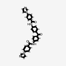 O=C(Nc1ccc(C(=O)c2ccc(NC(=O)c3ccc(-n4ccnc4)cc3)cc2)cc1)c1ccc(-n2ccnc2)cc1